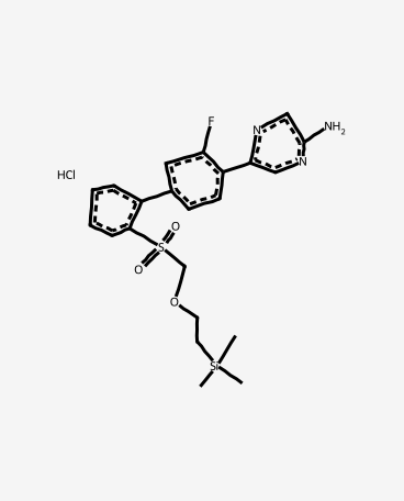 C[Si](C)(C)CCOCS(=O)(=O)c1ccccc1-c1ccc(-c2cnc(N)cn2)c(F)c1.Cl